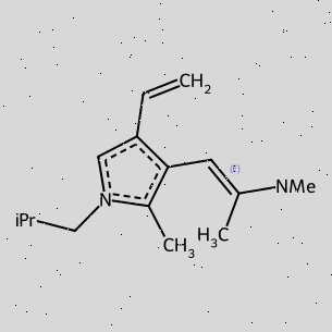 C=Cc1cn(CC(C)C)c(C)c1/C=C(\C)NC